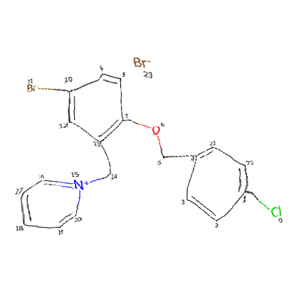 Clc1ccc(COc2ccc(Br)cc2C[n+]2ccccc2)cc1.[Br-]